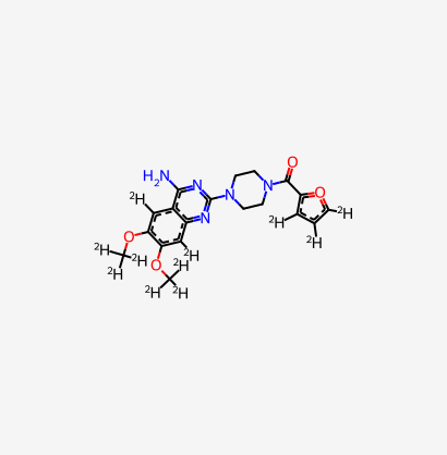 [2H]c1oc(C(=O)N2CCN(c3nc(N)c4c([2H])c(OC([2H])([2H])[2H])c(OC([2H])([2H])[2H])c([2H])c4n3)CC2)c([2H])c1[2H]